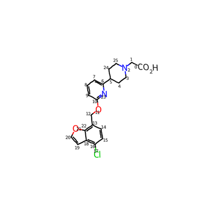 O=C(O)CN1CCC(c2cccc(OCc3ccc(Cl)c4ccoc34)n2)CC1